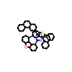 C1=CCC(c2nc(-c3ccc4ccc5ccccc5c4c3)nc(-c3cccc4oc5cccc(-c6ccc7sc8ccc9ccccc9c8c7c6)c5c34)n2)C=C1